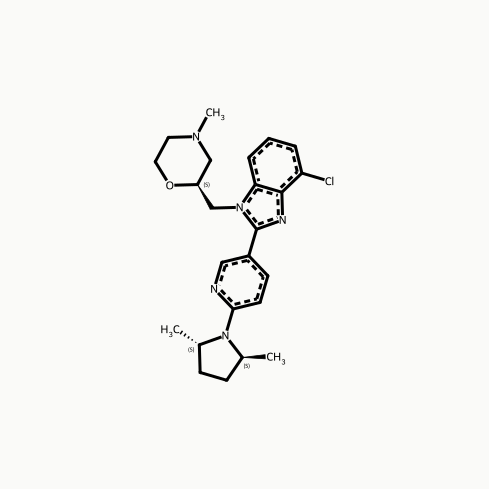 C[C@H]1CC[C@H](C)N1c1ccc(-c2nc3c(Cl)cccc3n2C[C@@H]2CN(C)CCO2)cn1